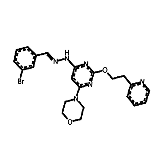 Brc1cccc(C=NNc2cc(N3CCOCC3)nc(OCCc3ccccn3)n2)c1